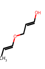 CC=COCC=CO